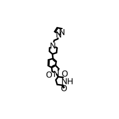 O=C1CCC(N2Cc3cc(C4CCN(CCn5cccn5)CC4)ccc3C2=O)C(=O)N1